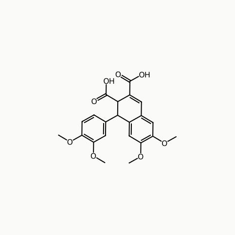 COc1ccc(C2c3cc(OC)c(OC)cc3C=C(C(=O)O)C2C(=O)O)cc1OC